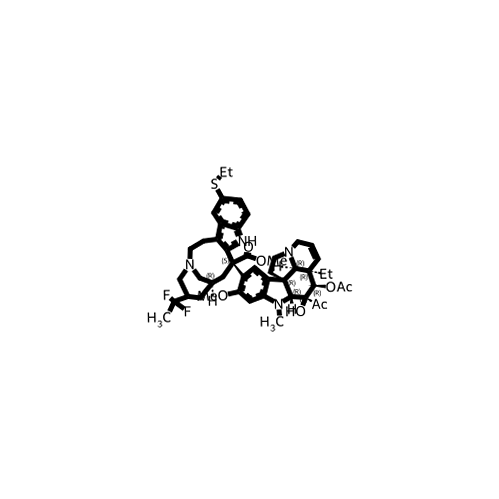 CCSc1ccc2[nH]c3c(c2c1)CCN1CC(C(C)(F)F)C[C@@H](C1)C[C@]3(C(=O)OC)c1cc2c(cc1OC)N(C)[C@H]1[C@@](O)(C(C)=O)[C@H](OC(C)=O)[C@]3(CC)C=CCN4CC[C@]21[C@@H]43